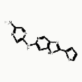 Nc1cnc(Nc2cc3[nH]c(-c4cccs4)nc3cn2)cn1